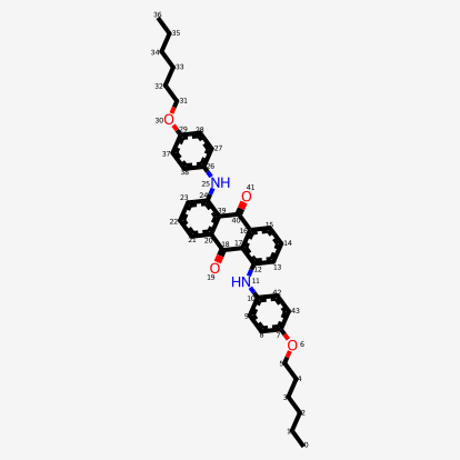 CCCCCCOc1ccc(Nc2cccc3c2C(=O)c2cccc(Nc4ccc(OCCCCCC)cc4)c2C3=O)cc1